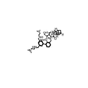 COc1c(CN2O[C@@H](CO)C([C@H](C)O)[C@H]2C(=O)N[C@H]2C[C@H]3C[C@@H]([C@@H]2C)C3(C)C)cccc1-c1cc(CNCCN(C)C)cc(CNCCN(C)C)c1